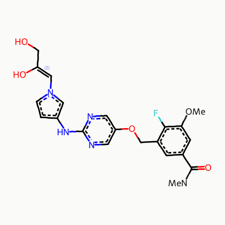 CNC(=O)c1cc(COc2cnc(Nc3ccn(/C=C(\O)CO)c3)nc2)c(F)c(OC)c1